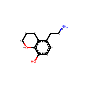 NCCc1ccc(O)c2c1C[CH]CO2